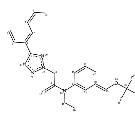 C=C/C(=C\C=C/C)c1nnn(CC(=O)N(CC)C(/C=C\C)=C/C=C/OC(F)(F)F)n1